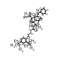 CCC(C)(C)c1ccc(OCCCC(=O)NC2(C)SC(=O)N(C(Cl)(C(=O)Nc3ccccc3)C(=O)[C@@H](N)C(C)C)C2=O)c(C(C)(C)CC)c1